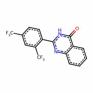 O=c1[nH]c(-c2ccc(C(F)(F)F)cc2C(F)(F)F)nc2ccccc12